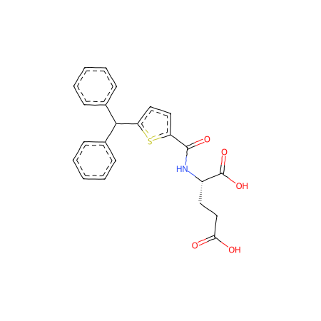 O=C(O)CC[C@H](NC(=O)c1ccc(C(c2ccccc2)c2ccccc2)s1)C(=O)O